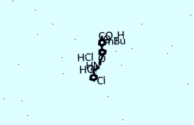 CCCCOc1cc(-c2ccc(OCCNC[C@H](O)c3cccc(Cl)c3)cc2)ccc1C(=O)O.Cl